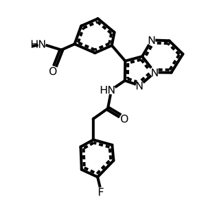 CNC(=O)c1cccc(-c2c(NC(=O)Cc3ccc(F)cc3)nn3cccnc23)c1